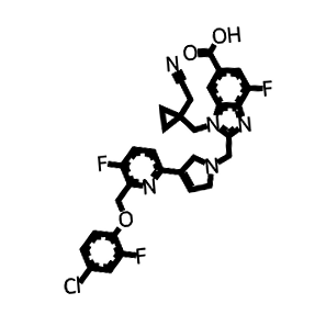 N#CCC1(Cn2c(CN3CC=C(c4ccc(F)c(COc5ccc(Cl)cc5F)n4)C3)nc3c(F)cc(C(=O)O)cc32)CC1